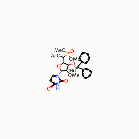 CO[C@@H]1[C@H](O[Si](c2ccccc2)(c2ccccc2)C(C)(C)C)[C@@H](C(OC(C)=O)P(=O)(OC)OC)O[C@H]1n1ccc(=O)[nH]c1=O